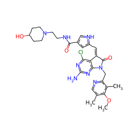 COc1c(C)cnc(CN2C(=O)/C(=C/c3cc(C(=O)NCCN4CCC(O)CC4)c[nH]3)c3c(Cl)nc(N)nc32)c1C